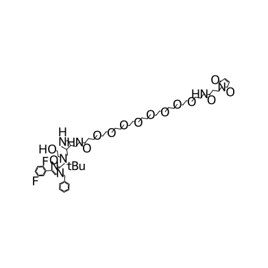 CC(C)(C)[C@H](c1nc(-c2cc(F)ccc2F)cn1Cc1ccccc1)N(CC1CNCC1CNC(=O)CCOCCOCCOCCOCCOCCOCCOCCOCCNC(=O)CCN1C(=O)C=CC1=O)C(=O)CO